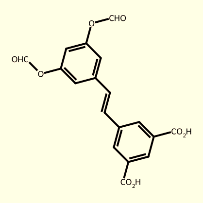 O=COc1cc(/C=C/c2cc(C(=O)O)cc(C(=O)O)c2)cc(OC=O)c1